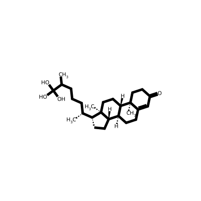 CC(CCC[C@@H](C)[C@H]1CC[C@H]2[C@@H]3CCC4=CC(=O)CC[C@]4(C)[C@H]3CC[C@]12C)C(O)(O)O